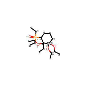 CCOC1(CC)C(P(=O)(CC)CC)CCC[Si]1(OCC)OCC